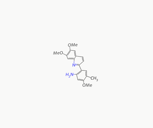 COc1cc(N)c(-c2ccc3cc(OC)c(OC)cc3n2)cc1C